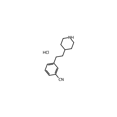 Cl.N#Cc1cccc(CCC2CCNCC2)c1